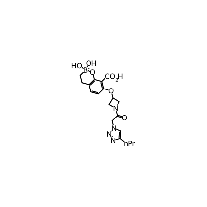 CCCc1cn(CC(=O)N2CC(Oc3ccc4c(c3C(=O)O)O[B-](O)(O)CC4)C2)nn1